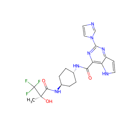 C[C@@](O)(C(=O)N[C@H]1CC[C@H](NC(=O)c2nc(-n3ccnc3)nc3cc[nH]c23)CC1)C(F)(F)F